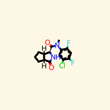 CN(C(=O)[C@H]1NC(=O)[C@@H]2CCC[C@H]12)c1cc(Cl)c(F)cc1F